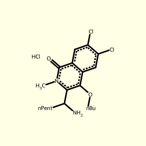 CCCCCC(N)c1c(OCCCC)c2cc(Cl)c(Cl)cc2c(=O)n1C.Cl